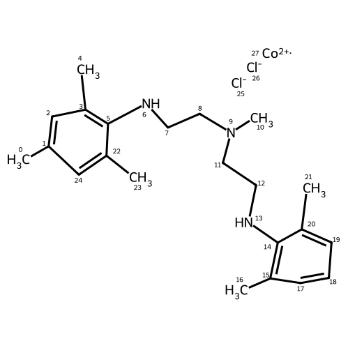 Cc1cc(C)c(NCCN(C)CCNc2c(C)cccc2C)c(C)c1.[Cl-].[Cl-].[Co+2]